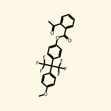 COc1ccc(C(c2ccc(OC(=O)c3ccccc3C(C)=O)cc2)(C(F)(F)F)C(F)(F)F)cc1